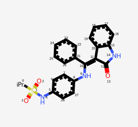 CC(C)S(=O)(=O)Nc1ccc(N/C(=C2\C(=O)Nc3ccccc32)c2ccccc2)cc1